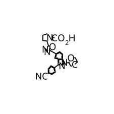 N#Cc1ccc(-c2nn(C3CCCCO3)c3ccc(-c4nnc(C5CCCN5C(=O)O)o4)cc23)cc1